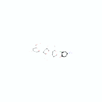 O=[N+]([O-])c1ccc(O[C@H]2O[C@H](CO)[C@@H](O[C@H]3O[C@H](CO)[C@@H](O[C@H]4O[C@H](CO)[C@@H](O)[C@H](O)[C@H]4O)[C@H](O)[C@H]3O)[C@H](O)[C@H]2O)c(Cl)c1